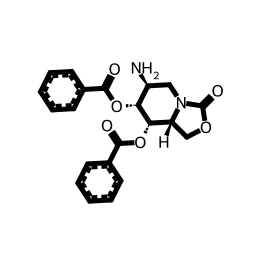 N[C@H]1CN2C(=O)OC[C@@H]2[C@H](OC(=O)c2ccccc2)[C@@H]1OC(=O)c1ccccc1